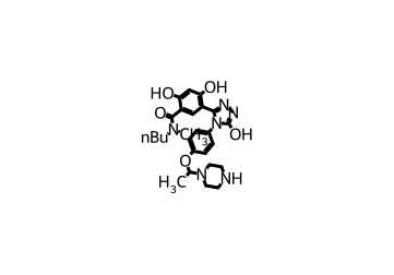 CCCCN(C)C(=O)c1cc(-c2nnc(O)n2-c2ccc(OC(C)N3CCNCC3)cc2)c(O)cc1O